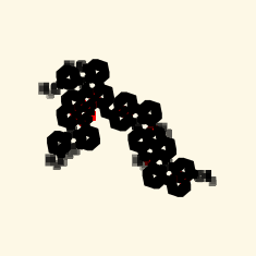 Cc1ccc(N(c2c(C)cccc2-c2ccccc2)c2ccc3ccc4c(N(c5ccc(Cc6ccc(-c7cccc(C)c7N(c7cccc(C)c7)c7ccc8ccc9c(N(c%10cccc(C)c%10)c%10c(C)cccc%10-c%10ccccc%10)ccc%10ccc7c8c%109)cc6)cc5)c5c(C)cccc5-c5ccccc5)ccc5ccc2c3c54)cc1